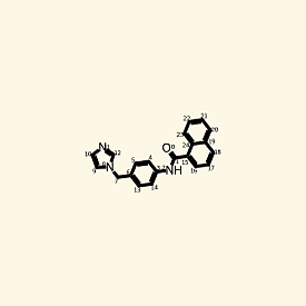 O=C(Nc1ccc(Cn2ccnc2)cc1)c1cccc2ccccc12